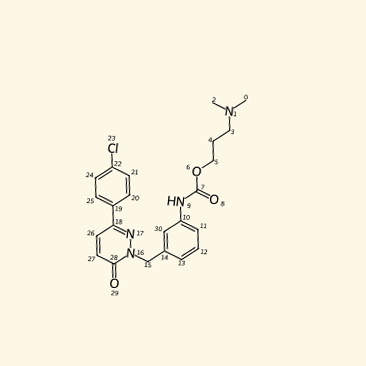 CN(C)CCCOC(=O)Nc1cccc(Cn2nc(-c3ccc(Cl)cc3)ccc2=O)c1